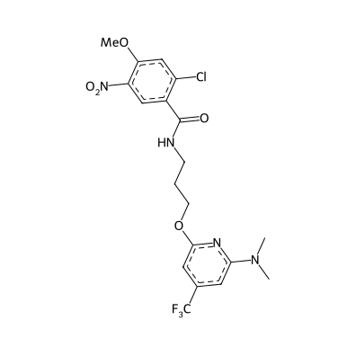 COc1cc(Cl)c(C(=O)NCCCOc2cc(C(F)(F)F)cc(N(C)C)n2)cc1[N+](=O)[O-]